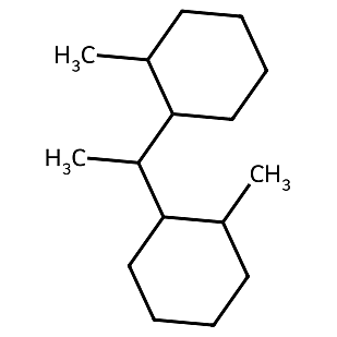 CC1CCCCC1C(C)C1CCCCC1C